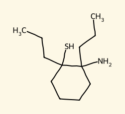 CCCC1(N)CCCCC1(S)CCC